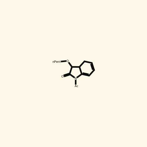 CCCCCOC1C(=O)N(C(C)=O)C2=CC=CCC21